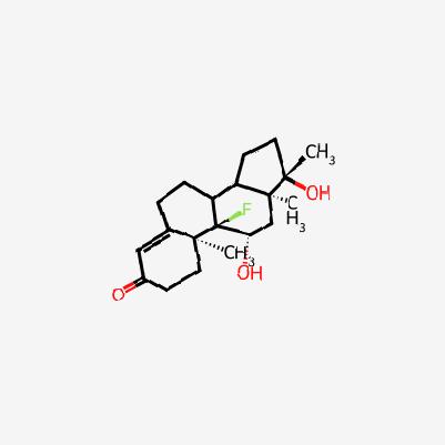 C[C@]1(O)CCC2C3CCC4=CC(=O)CC[C@]4(C)[C@@]3(F)[C@@H](O)C[C@@]21C